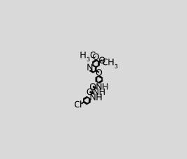 COc1cc2nccc(Oc3ccc(NC(=O)NC(=O)Nc4ccc(Cl)cc4)cc3)c2cc1OC